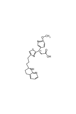 COc1ccc([C@@H](CC(=O)O)c2nc(CCCC3CCc4cccnc4N3)cs2)cn1